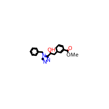 COC(=O)C1=CC(CC(O)c2nncn2Cc2ccccc2)CC=C1